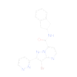 O=C(NC1Cc2ccccc2C1)c1ccnc2c(Br)c(-c3cccnn3)nn12